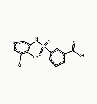 O=C(O)c1cccc(S(=O)(=O)Nc2cncc(Cl)c2O)c1